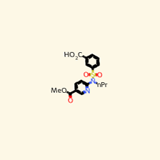 CCCN(c1ccc(C(=O)OC)cn1)S(=O)(=O)c1cccc(C(=O)O)c1